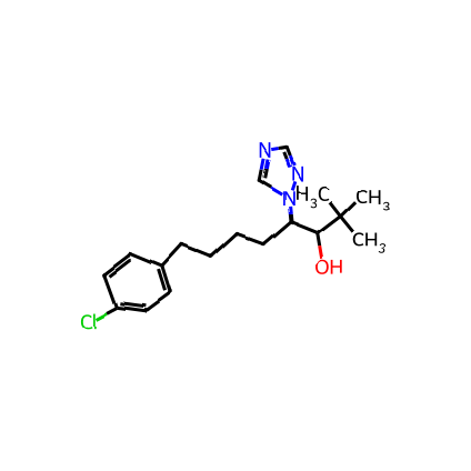 CC(C)(C)C(O)C(CCCCc1ccc(Cl)cc1)n1cncn1